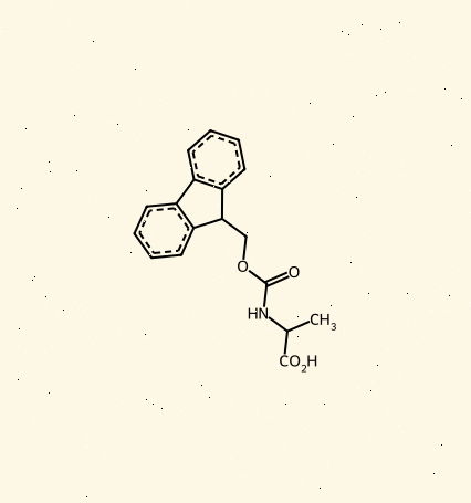 CC(NC(=O)OCC1c2ccccc2-c2ccccc21)C(=O)O